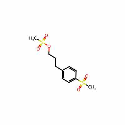 CS(=O)(=O)OCCCc1ccc(S(C)(=O)=O)cc1